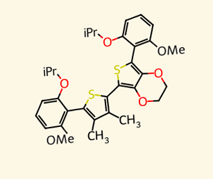 COc1cccc(OC(C)C)c1-c1sc(-c2sc(-c3c(OC)cccc3OC(C)C)c3c2OCCO3)c(C)c1C